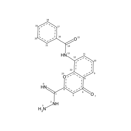 N=C(NN)c1cc(=O)c2cccc(NC(=O)c3ccccc3)c2o1